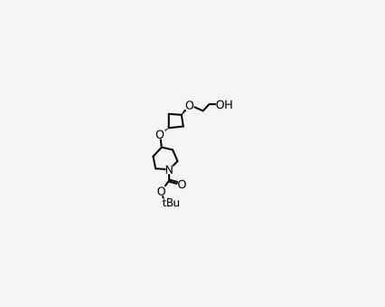 CC(C)(C)OC(=O)N1CCC(O[C@H]2C[C@H](OCCO)C2)CC1